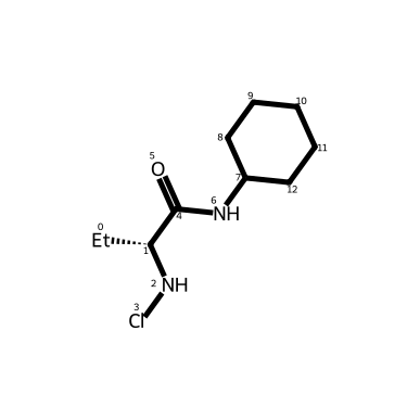 CC[C@@H](NCl)C(=O)NC1CCCCC1